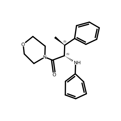 C[C@@H](c1ccccc1)[C@H](Nc1ccccc1)C(=O)N1CCOCC1